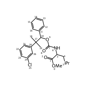 COC(=O)C(CC(C)C)NC(=O)OC(c1ccccc1)C(C)(C)c1cccc(Cl)c1